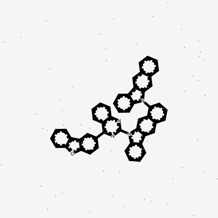 c1ccc2cc3c(cc2c1)c1ccccc1n3-c1cccc2cc3c4ccccc4n(-c4nc(-c5ccc6oc7ccccc7c6c5)c5ccccc5n4)c3cc12